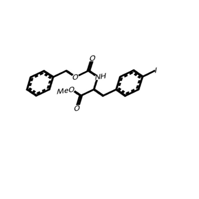 COC(=O)C(Cc1ccc(I)cc1)NC(=O)OCc1ccccc1